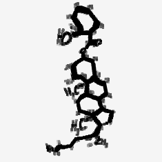 CC(C)CCC[C@@H](C)[C@H]1CCC2C3CC=C4CC(OC(=O)c5ccccc5O)CC[C@]4(C)C3CC[C@@]21C